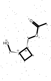 CC(=O)OC[C@@H]1CC[C@@H]1CO